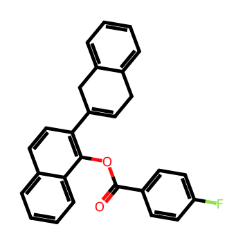 O=C(Oc1c(C2=CCc3ccccc3C2)ccc2ccccc12)c1ccc(F)cc1